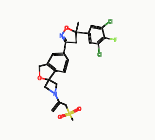 C=C(CS(C)(=O)=O)N1CC2(C1)OCc1cc(C3=NOC(C)(c4cc(Cl)c(F)c(Cl)c4)C3)ccc12